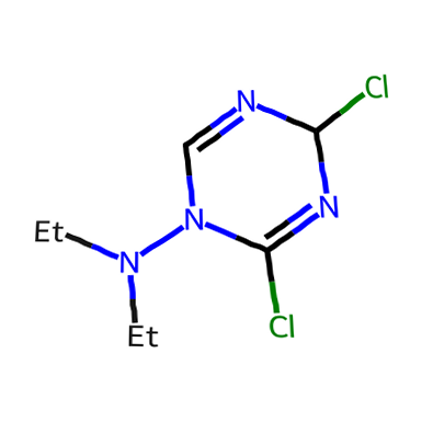 CCN(CC)N1C=NC(Cl)N=C1Cl